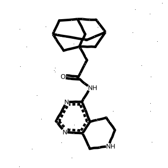 O=C(CC12CC3CC(CC(C3)C1)C2)Nc1ncnc2c1CCNC2